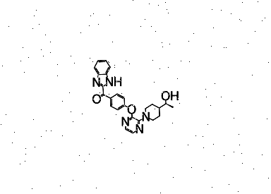 C[C@H](O)C1CCN(c2nccnc2Oc2ccc(C(=O)c3nc4ccccc4[nH]3)cc2)CC1